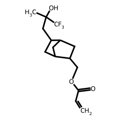 C=CC(=O)OCC1CC2CC1CC2CC(C)(O)C(F)(F)F